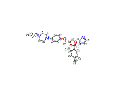 O=C(O)N1CCN(c2ccc(OC[C@@H]3CO[C@@](Cn4ccnc4)(c4ccc(Cl)cc4Cl)O3)cc2)CC1